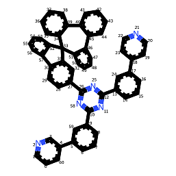 c1cncc(-c2cccc(-c3nc(-c4cccc(-c5ccncc5)c4)nc(-c4ccc5c(c4)C4(c6ccccc6-c6ccccc6-c6ccccc64)c4ccccc4-5)n3)c2)c1